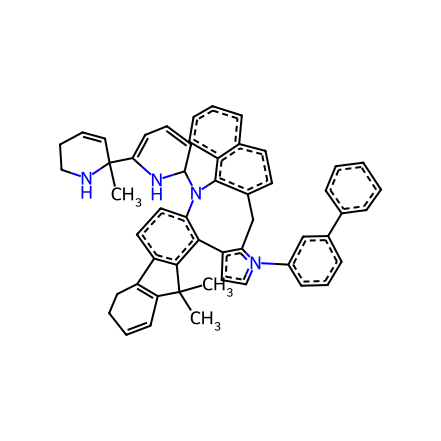 CC1(C2=CC=CC(N3c4ccc5c(c4-c4ccn(-c6cccc(-c7ccccc7)c6)c4Cc4ccc6ccccc6c43)C(C)(C)C3=C5CCC=C3)N2)C=CCCN1